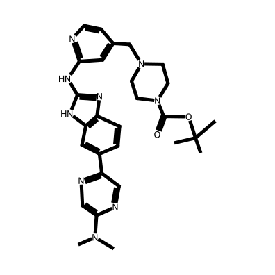 CN(C)c1cnc(-c2ccc3nc(Nc4cc(CN5CCN(C(=O)OC(C)(C)C)CC5)ccn4)[nH]c3c2)cn1